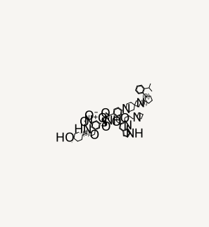 CC(C)c1ccccc1[C@H]1CCC[C@H]1N1CC2(CCN(c3ccc(C(=O)NS(=O)(=O)c4cc5c(c([N+](=O)[O-])c4)N[C@@H]([C@H]4CC[C@](C)(O)CC4)CO5)c(Oc4cc5cc[nH]c5nc4OCCN4CCC4)c3)CC2)C1